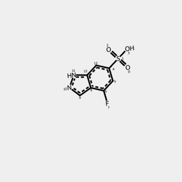 O=S(=O)(O)c1cc(F)c2cn[nH]c2c1